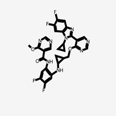 COc1ncncc1C(=O)Nc1cc(F)c(F)cc1NC1CC1COc1ncncc1-c1nc2cc(F)c(F)cc2n1C1CC1